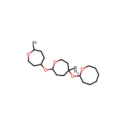 BC1(OC2CCCCCCO2)CCOC(OC2CCOC(C(C)C)CC2)CC1